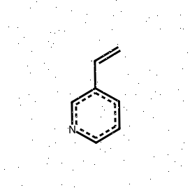 C=[C]c1cccnc1